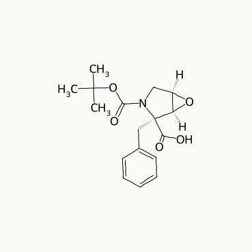 CC(C)(C)OC(=O)N1C[C@H]2O[C@H]2[C@@]1(Cc1ccccc1)C(=O)O